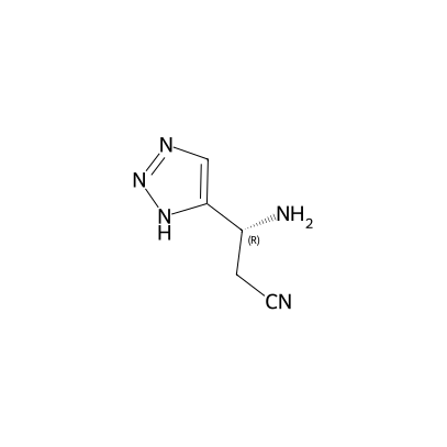 N#CC[C@@H](N)c1cnn[nH]1